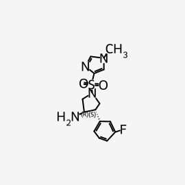 Cn1cnc(S(=O)(=O)N2C[C@H](c3cccc(F)c3)[C@@H](N)C2)c1